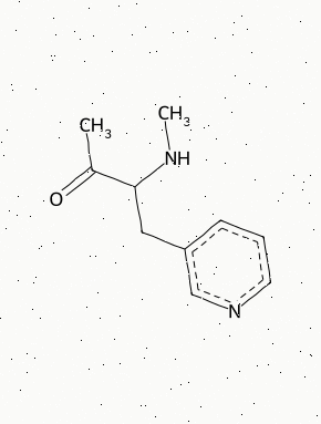 CNC(Cc1cccnc1)C(C)=O